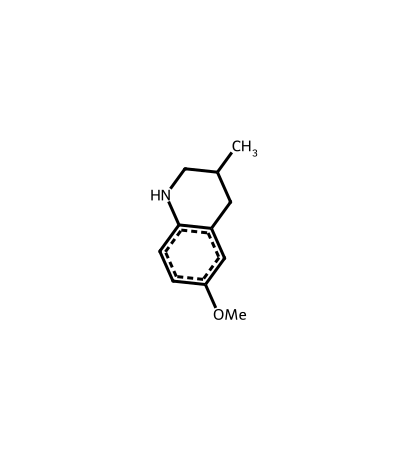 COc1ccc2c(c1)CC(C)CN2